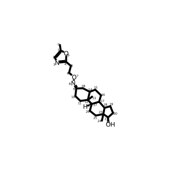 Cc1cnc(CCON=C2CCC3(C)C(CCC4C5CCC(O)C5(C)CC[C@@H]43)C2)o1